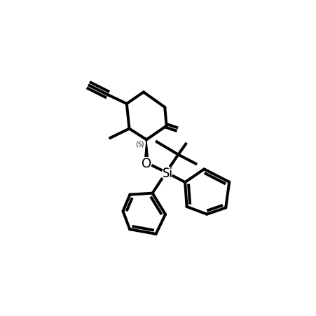 C#CC1CCC(=C)[C@@H](O[Si](c2ccccc2)(c2ccccc2)C(C)(C)C)C1C